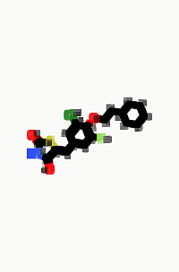 O=C1NC(=O)C(=Cc2cc(F)c(OCCC3CCCCC3)c(Cl)c2)S1